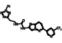 CC(C)n1nnc(CCNC(=O)Nc2cn3nc(-c4cncc(C(F)(F)F)c4)ccc3n2)n1